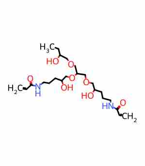 C=CC(=O)NCCCC(O)COCC(COCC(O)CC)OCC(O)CCCNC(=O)C=C